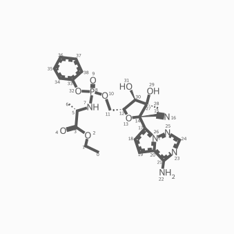 CCOC(=O)[C@H](C)NP(=O)(OC[C@H]1O[C@@](C#N)(c2ccc3c(N)ncnn23)[C@](C)(O)[C@@H]1O)Oc1ccccc1